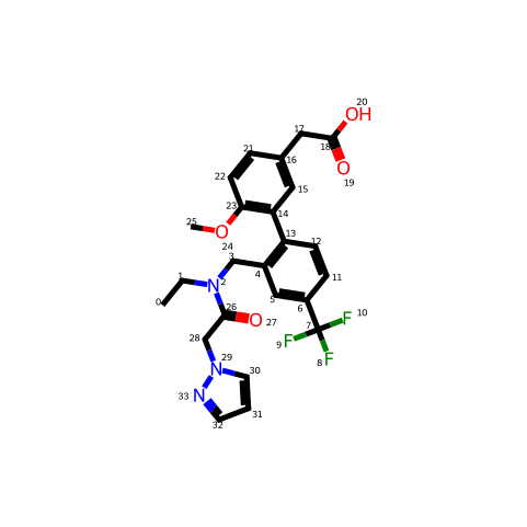 CCN(Cc1cc(C(F)(F)F)ccc1-c1cc(CC(=O)O)ccc1OC)C(=O)Cn1cccn1